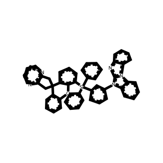 c1ccc([Si](c2ccccc2)(c2cccc(-n3c4ccccc4n4c5ccccc5nc34)c2)c2cccc3c2Oc2ccccc2C3(Cc2ncccn2)Cc2ncccn2)cc1